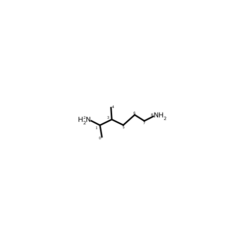 CC(N)C(C)CCCN